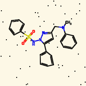 CN(Cc1cc(-c2ccccc2)n(NS(=O)(=O)c2ccccc2)n1)c1ccccc1